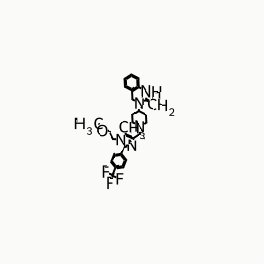 C=C1Nc2ccccc2CN1C1CCN(Cc2nc(-c3ccc(C(F)(F)F)cc3)n(CCOC)c2C)CC1